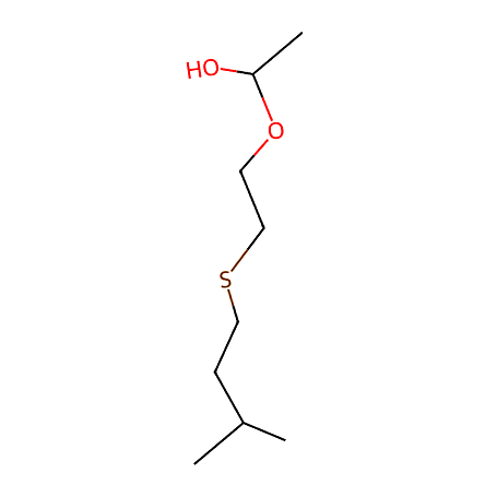 CC(C)CCSCCOC(C)O